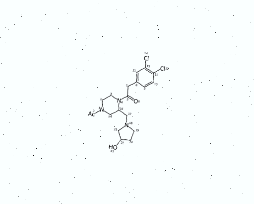 CC(=O)N1CCN(C(=O)Cc2ccc(Cl)c(Cl)c2)C(CN2CCC(O)C2)C1